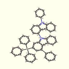 c1ccc(-c2cc([Si](c3ccccc3)(c3ccccc3)c3ccccc3)cc3c2c2ccccc2n3-c2cccc3c2c2ccccc2n3-c2ccccc2)cc1